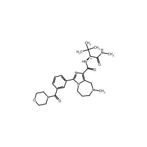 CNC(=O)[C@@H](NC(=O)c1nc(-c2cccc(C(=O)N3CCOCC3)c2)n2c1CN(C)CCC2)C(C)(C)C